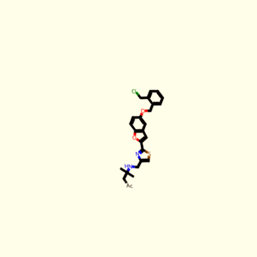 CC(=O)CC(C)(C)NCc1csc(-c2cc3cc(OCc4ccccc4CCl)ccc3o2)n1